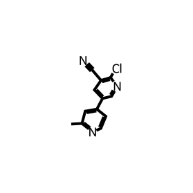 Cc1cc(-c2cnc(Cl)c(C#N)c2)ccn1